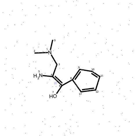 CN(C)C/C(N)=C(/O)c1ccccc1